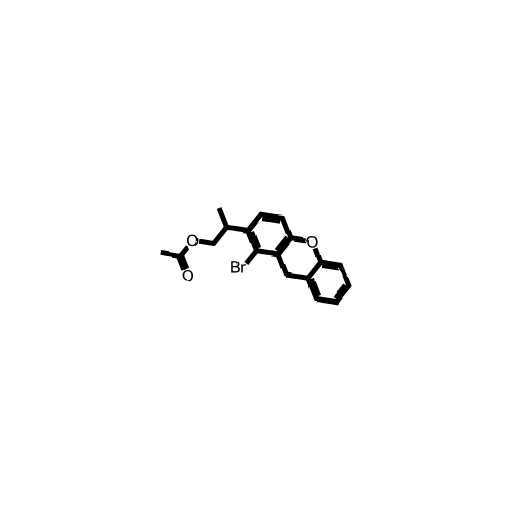 CC(=O)OCC(C)c1ccc2c(c1Br)Cc1ccccc1O2